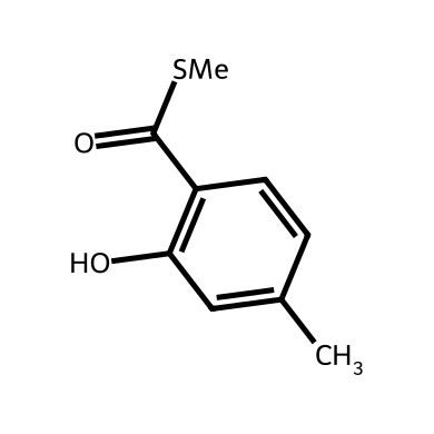 CSC(=O)c1ccc(C)cc1O